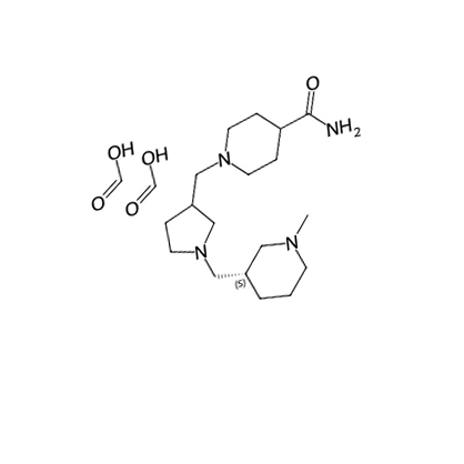 CN1CCC[C@H](CN2CCC(CN3CCC(C(N)=O)CC3)C2)C1.O=CO.O=CO